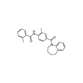 Cc1cc(C(=O)N2CCCCc3ccccc32)ccc1NC(=O)c1ccccc1C